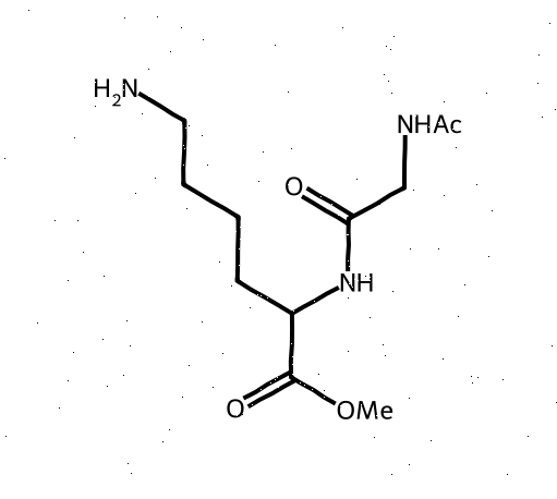 COC(=O)C(CCCCN)NC(=O)CNC(C)=O